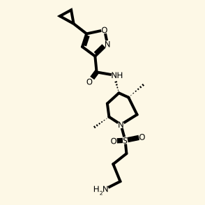 C[C@@H]1CN(S(=O)(=O)CCCN)[C@H](C)C[C@@H]1NC(=O)c1cc(C2CC2)on1